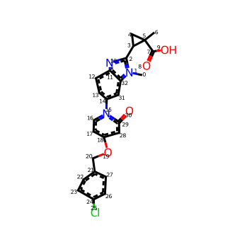 Cn1c(C2CC2(C)C(=O)O)nc2ccc(-n3ccc(OCc4ccc(Cl)cc4)cc3=O)cc21